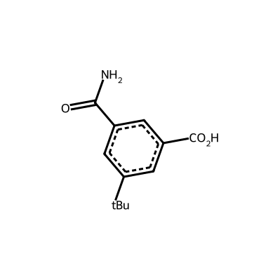 CC(C)(C)c1cc(C(N)=O)cc(C(=O)O)c1